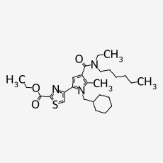 CCCCCCN(CC)C(=O)c1cc(-c2csc(C(=O)OCC)n2)n(CC2CCCCC2)c1C